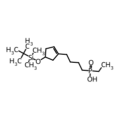 CCP(=O)(O)CCCCC1=CCC(O[Si](C)(C)C(C)(C)C)C1